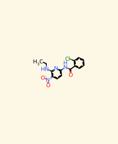 CCNc1nc(NC(=O)c2ccccc2Cl)ccc1[N+](=O)[O-]